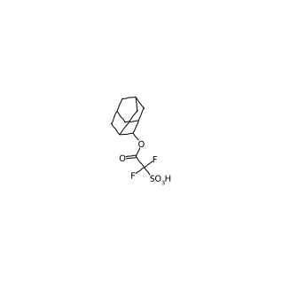 O=C(OC1C2CC3CC(C2)CC1C3)C(F)(F)S(=O)(=O)O